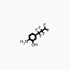 Nc1ccc(C(F)(F)C(F)(F)C(F)F)cc1O